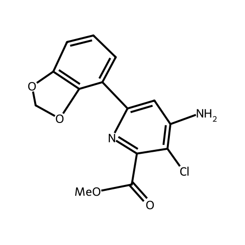 COC(=O)c1nc(-c2cccc3c2OCO3)cc(N)c1Cl